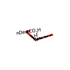 C=CCCCCCCCCCCCCCCCCCCNC(C)CCCCCCCCCCCCCC(CCCCCCCCCC)CCCC(=O)O